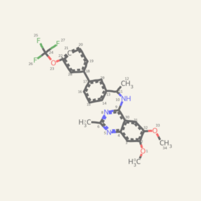 COc1cc2nc(C)nc(NC(C)c3cccc(-c4cccc(OC(F)(F)F)c4)c3)c2cc1OC